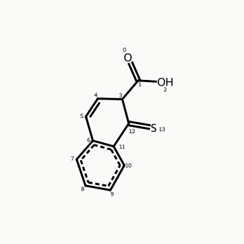 O=C(O)C1C=Cc2ccccc2C1=S